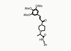 COc1cc(C=CC(=O)N2CCN(C(C)C(=O)NCC(C)C)CC2)cc(OC)c1OC